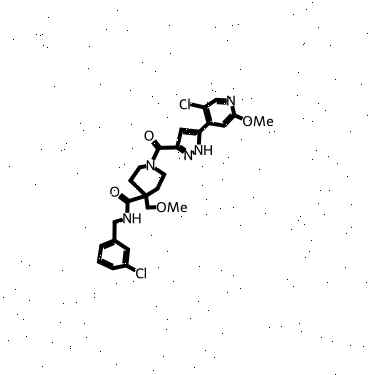 COCC1(C(=O)NCc2cccc(Cl)c2)CCN(C(=O)c2cc(-c3cc(OC)ncc3Cl)[nH]n2)CC1